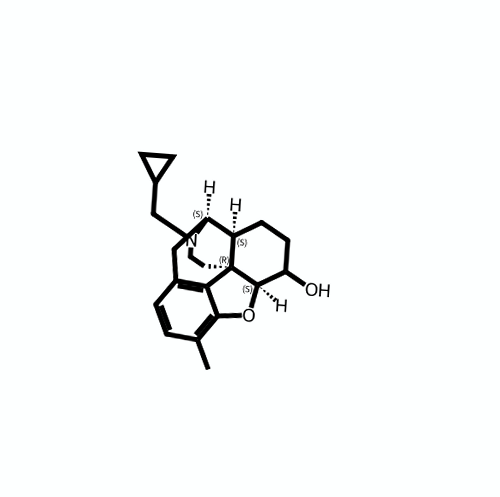 Cc1ccc2c3c1O[C@@H]1C(O)CC[C@@H]4[C@H](C2)N(CC2CC2)CC[C@@]314